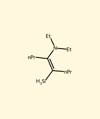 CCCC([SiH3])=C(CCC)N(CC)CC